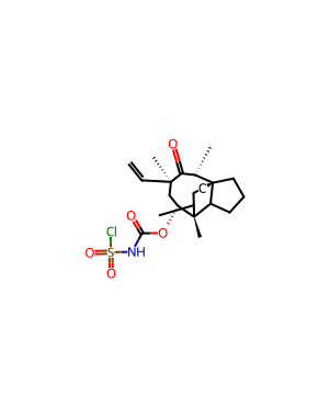 C=C[C@]1(C)C[C@@H](OC(=O)NS(=O)(=O)Cl)[C@]2(C)C(C)CC[C@]3(CCCC32)[C@@H](C)C1=O